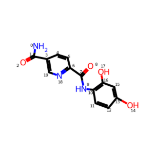 NC(=O)c1ccc(C(=O)Nc2ccc(O)cc2O)nc1